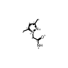 Cc1cc(C)n(CC([NH])=O)n1